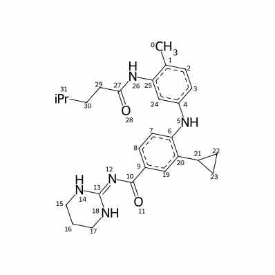 Cc1ccc(Nc2ccc(C(=O)N=C3NCCCN3)cc2C2CC2)cc1NC(=O)CCC(C)C